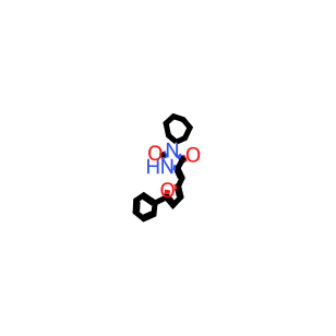 O=C1NC(=Cc2ccc(-c3ccccc3)o2)C(=O)N1C1CCCCCC1